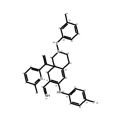 C=C(c1cccc(C)n1)C12CC(C=N)=C(Nc3ccc(F)cc3)C=C1CCN(Sc1cccc(C)c1)C2